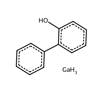 Oc1ccccc1-c1ccccc1.[GaH3]